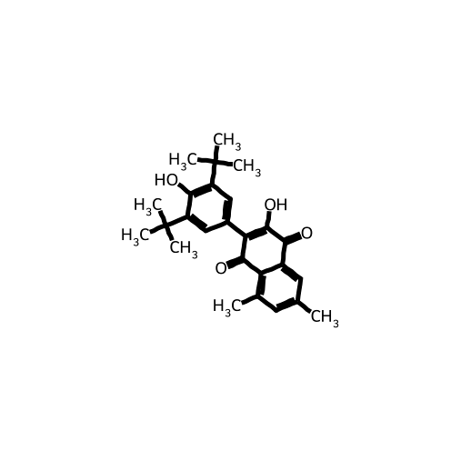 Cc1cc(C)c2c(c1)C(=O)C(O)=C(c1cc(C(C)(C)C)c(O)c(C(C)(C)C)c1)C2=O